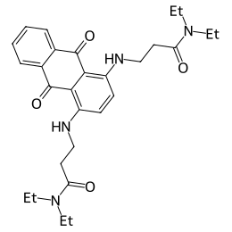 CCN(CC)C(=O)CCNc1ccc(NCCC(=O)N(CC)CC)c2c1C(=O)c1ccccc1C2=O